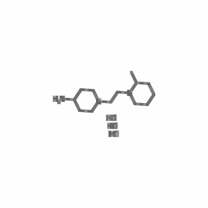 CC1CCCCN1CCN1CCC(N)CC1.Cl.Cl.Cl